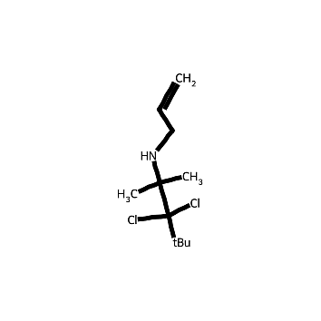 C=CCNC(C)(C)C(Cl)(Cl)C(C)(C)C